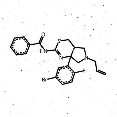 C=CCN1CC2CSC(NC(=O)c3ccccc3)=NC2(c2cc(Br)ccc2F)C1